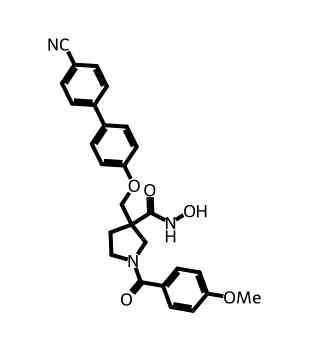 COc1ccc(C(=O)N2CCC(COc3ccc(-c4ccc(C#N)cc4)cc3)(C(=O)NO)C2)cc1